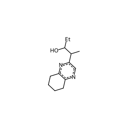 CCC(O)C(C)c1cnc2c(n1)CCCC2